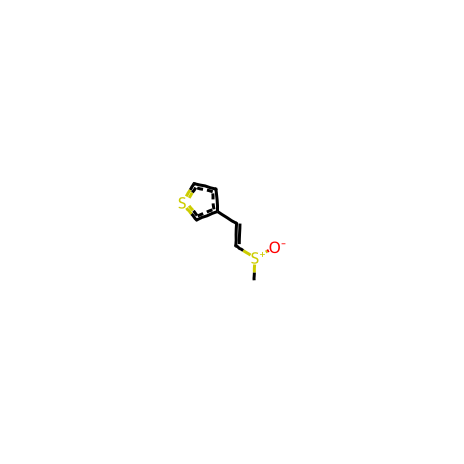 C[S+]([O-])C=Cc1ccsc1